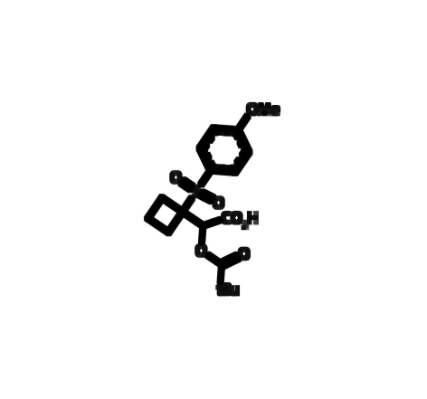 COc1ccc(S(=O)(=O)C2(C(OC(=O)C(C)(C)C)C(=O)O)CCC2)cc1